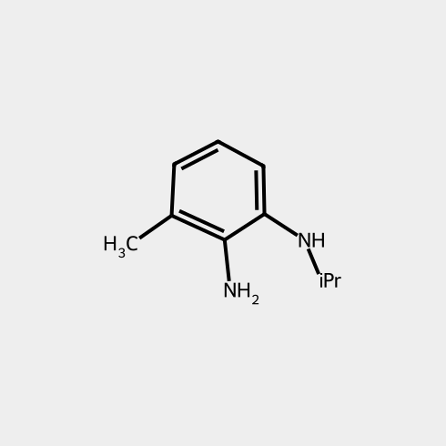 Cc1cccc(NC(C)C)c1N